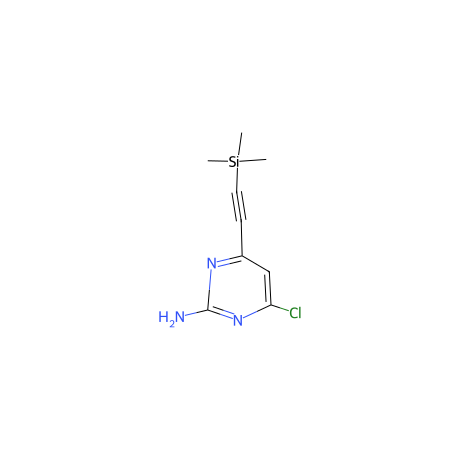 C[Si](C)(C)C#Cc1cc(Cl)nc(N)n1